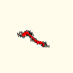 CC1=C(O)C(=O)C=C2C1=CC=C1[C@@]2(C)CC[C@@]2(C)[C@@H]3C[C@](C)(C(=O)NCCCOCCOCCOCCNC(=O)Oc4ccc5c(c4)sc4nc(-c6ccc(NC(=O)Nc7cc(C(C)(C)C)on7)cc6)cn45)CC[C@]3(C)CC[C@]12C